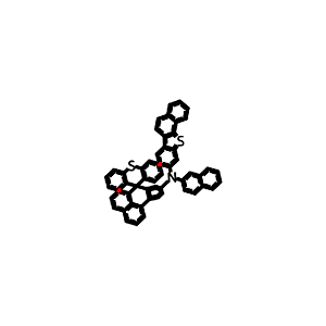 c1ccc2c(c1)Sc1ccccc1C21c2cc(N(c3ccc4ccccc4c3)c3ccc4c(c3)sc3c5ccccc5ccc43)ccc2-c2cccc3cccc1c23